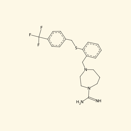 N=C(N)N1CCCN(Cc2ccccc2SCc2ccc(C(F)(F)F)cc2)CC1